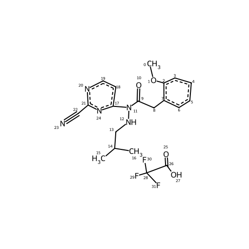 COc1ccccc1CC(=O)N(NCC(C)C)c1ccnc(C#N)n1.O=C(O)C(F)(F)F